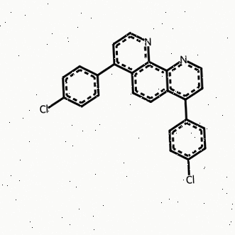 Clc1ccc(-c2ccnc3c2ccc2c(-c4ccc(Cl)cc4)ccnc23)cc1